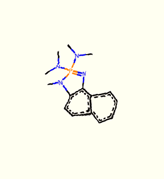 CN(C)P1(N(C)C)=Nc2c(ccc3ccccc23)N1C